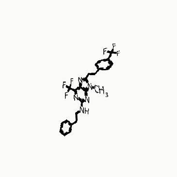 Cn1c(C=Cc2ccc(C(F)(F)F)cc2)nc2c(C(F)(F)F)nc(NCCc3ccccc3)nc21